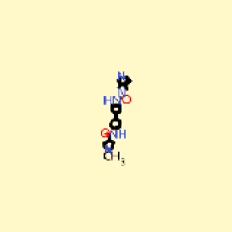 CN1CCC(C(=O)NC2CC=C(c3ccc(NC(=O)N4Cc5ccncc5C4)cc3)CC2)CC1